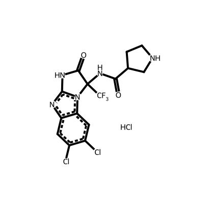 Cl.O=C(NC1(C(F)(F)F)C(=O)Nc2nc3cc(Cl)c(Cl)cc3n21)C1CCNC1